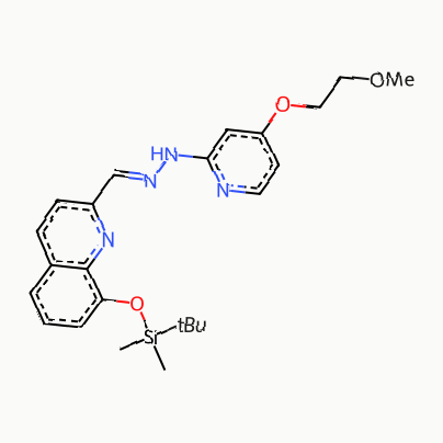 COCCOc1ccnc(NN=Cc2ccc3cccc(O[Si](C)(C)C(C)(C)C)c3n2)c1